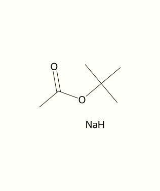 CC(=O)OC(C)(C)C.[NaH]